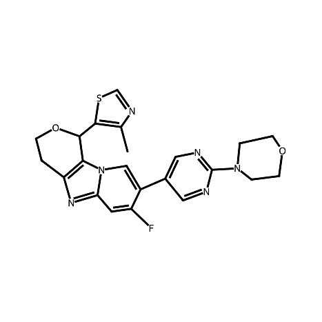 Cc1ncsc1C1OCCc2nc3cc(F)c(-c4cnc(N5CCOCC5)nc4)cn3c21